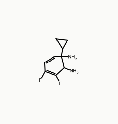 NC1C(F)=C(F)C=CC1(N)C1CC1